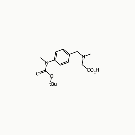 CN(CC(=O)O)Cc1ccc(N(C)C(=O)OC(C)(C)C)cc1